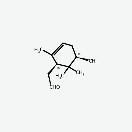 CC1=CC[C@@H](C)C(C)(C)[C@H]1CC=O